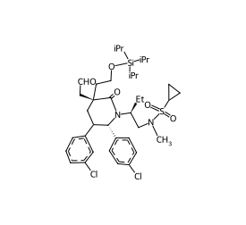 CC[C@@H](CN(C)S(=O)(=O)C1CC1)N1C(=O)[C@@](CC=O)(CCO[Si](C(C)C)(C(C)C)C(C)C)CC(c2cccc(Cl)c2)[C@H]1c1ccc(Cl)cc1